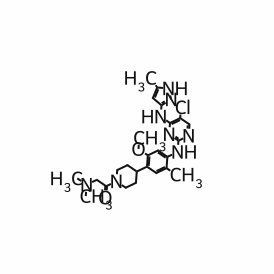 COc1cc(Nc2ncc(Cl)c(Nc3cc(C)[nH]n3)n2)c(C)cc1C1CCN(C(=O)CN(C)C)CC1